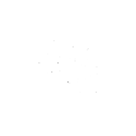 COC(=O)c1ccc(NCCc2c(CCO[Si](c3ccccc3)(c3ccccc3)C(C)(C)C)n(C(c3ccccc3)c3ccccc3)c3ccc(Cl)cc23)cc1